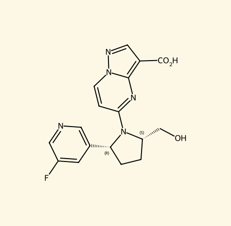 O=C(O)c1cnn2ccc(N3[C@H](CO)CC[C@@H]3c3cncc(F)c3)nc12